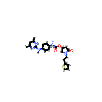 Cc1cc(C)nc(N(C)c2ccc(NC(=O)OC3CC(=O)N(CCc4cccs4)C3)cc2)n1